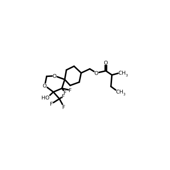 CCC(C)C(=O)OCC1CCC2(CC1)OCOC(O)(C(F)(F)F)C2(F)F